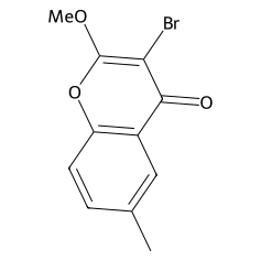 COc1oc2ccc(C)cc2c(=O)c1Br